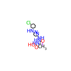 CC(I)(NC(=O)O)C(=O)NNc1ccc(Nc2cccc(Cl)c2)nn1